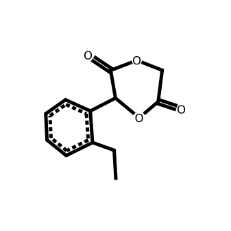 CCc1ccccc1C1OC(=O)COC1=O